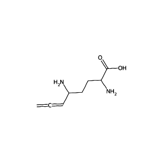 C=C=CC(N)CCC(N)C(=O)O